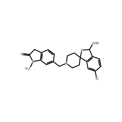 CN1C(=O)Cc2ccc(CN3CCC4(CC3)OC(C=O)c3ccc(Cl)cc34)cc21